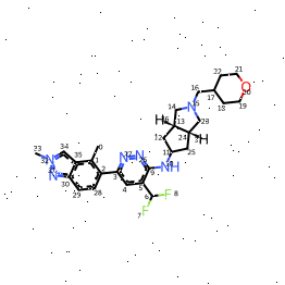 Cc1c(-c2cc(C(F)F)c(NC3C[C@@H]4CN(CC5CCOCC5)C[C@@H]4C3)nn2)ccc2nn(C)cc12